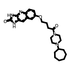 O=C(CCCOc1ccc2nc3[nH]c(=O)[nH]c3cc2c1)N1CCN(C2CCCCCC2)CC1